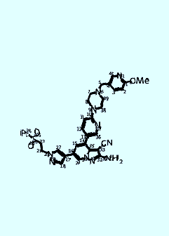 COc1ccc(CN2CCN(c3ccc(-c4cc(-c5cnn(CCS(=O)(=O)C(C)C)c5)cn5nc(N)c(C#N)c45)cn3)CC2)cn1